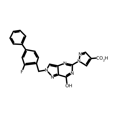 O=C(O)c1cnn(-c2nc(O)c3nn(Cc4ccc(-c5ccccc5)cc4F)cc3n2)c1